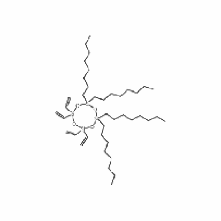 C=C[Si]1(C=C)O[Si](C=C)(C=C)O[Si](CCCCCCCC)(CCCCCCCC)O[Si](CCCCCCCC)(CCCCCCCC)O1